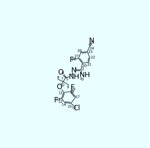 CN/C(=N\NC(=O)C(C)(C)Oc1c(F)cc(Cl)cc1F)c1ccc(C#N)cc1F